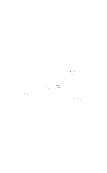 COC=[Si](OC)OC